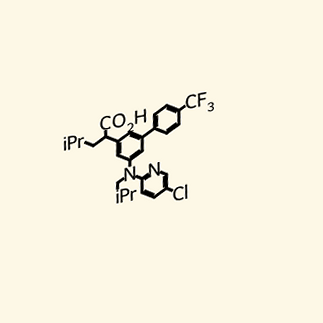 CC(C)CC(C(=O)O)c1cc(-c2ccc(C(F)(F)F)cc2)cc(N(CC(C)C)c2ccc(Cl)cn2)c1